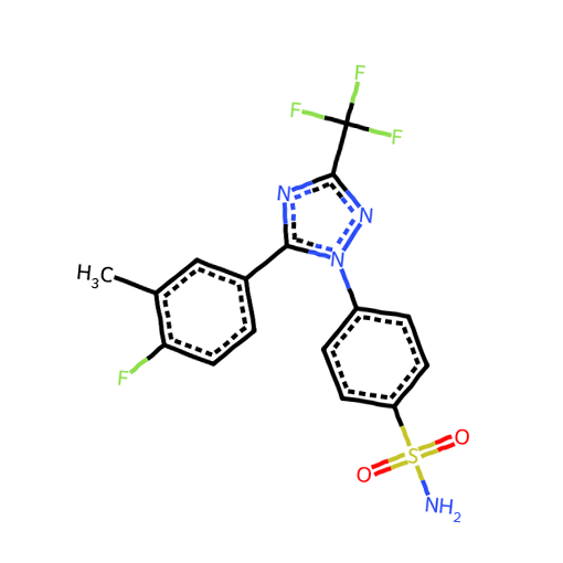 Cc1cc(-c2nc(C(F)(F)F)nn2-c2ccc(S(N)(=O)=O)cc2)ccc1F